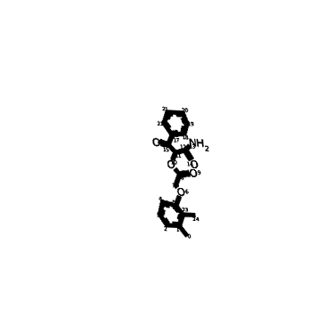 Cc1cccc(OCC(=O)OC(C(N)=O)C(=O)c2ccccc2)c1C